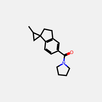 CC1CC12CCc1cc(C(=O)N3CCCC3)ccc12